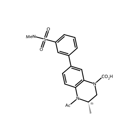 CNS(=O)(=O)c1cccc(-c2ccc3c(c2)N(C(=O)O)C[C@H](C)N3C(C)=O)c1